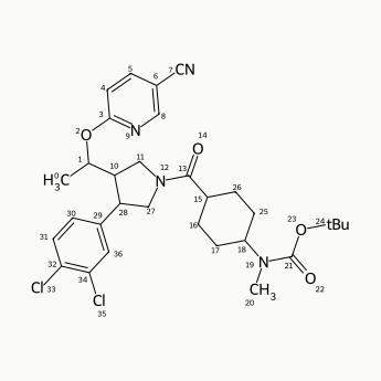 CC(Oc1ccc(C#N)cn1)C1CN(C(=O)C2CCC(N(C)C(=O)OC(C)(C)C)CC2)CC1c1ccc(Cl)c(Cl)c1